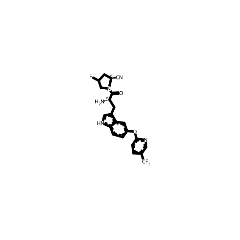 N#C[C@@H]1CC(F)CN1C(=O)[C@@H](N)Cc1c[nH]c2ccc(Oc3ccc(C(F)(F)F)cn3)cc12